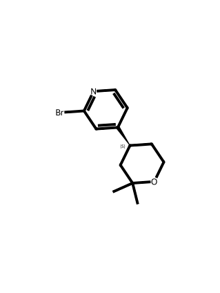 CC1(C)C[C@@H](c2ccnc(Br)c2)CCO1